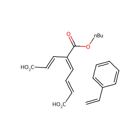 C=Cc1ccccc1.CCCCOC(=O)C(C=CC(=O)O)=CC=CC(=O)O